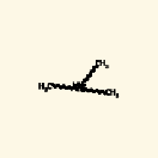 CCCCCCCCCCCN(CCCCCCCCCC)NSCCCCCCCCC